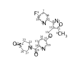 Cc1onc(-c2ccc(F)cn2)c1COc1ccc(C(=O)N2CC[S+]([O-])CC2)nc1